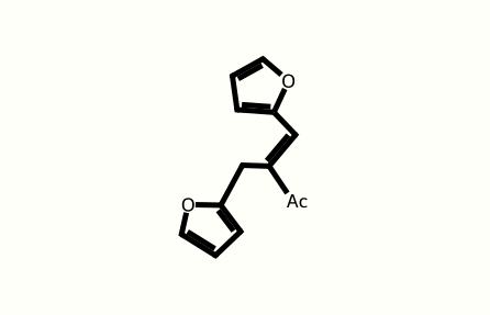 CC(=O)C(=Cc1ccco1)Cc1ccco1